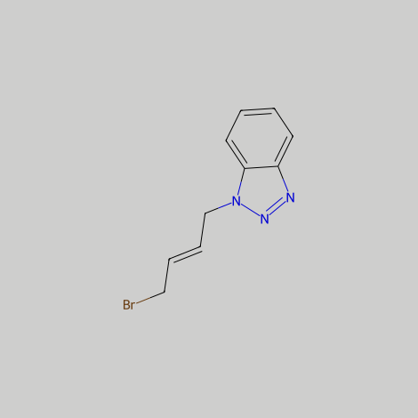 BrC/C=C/Cn1nnc2ccccc21